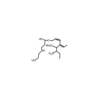 C/C=C(\C=C/CCN(CCC)CCNCCO)C(OC)C(N)CF